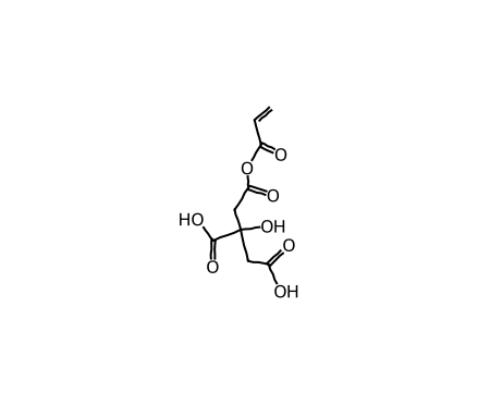 C=CC(=O)OC(=O)CC(O)(CC(=O)O)C(=O)O